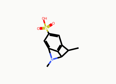 CC1c2cc(S(=O)(=O)O)cc3c2C1N3C